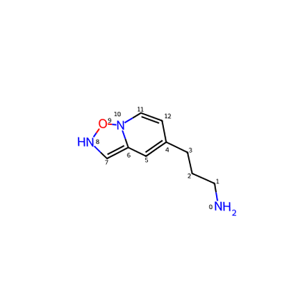 NCCCC1=CC2=CNON2C=C1